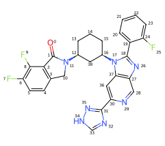 O=C1c2c(ccc(F)c2F)CN1[C@H]1CCC[C@@H](n2c(-c3ccccc3F)nc3cnc(-c4nc[nH]n4)cc32)C1